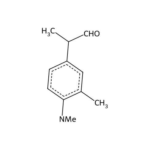 CNc1ccc(C(C)C=O)cc1C